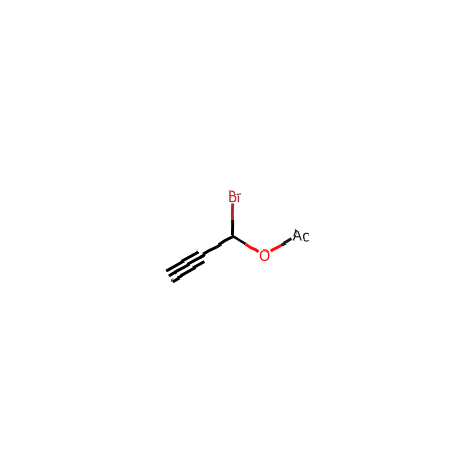 C#CC(Br)OC([CH2])=O